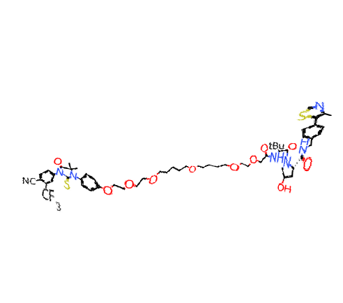 Cc1ncsc1-c1ccc(CNC(=O)[C@@H]2C[C@@H](O)CN2C(=O)[C@@H](NC(=O)COCCOCCCCCOCCCCCOCCOCCOc2ccc(N3C(=S)N(c4ccc(C#N)c(C(F)(F)F)c4)C(=O)C3(C)C)cc2)C(C)(C)C)cc1